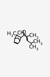 CC(=CC(C)C)C(=O)C1C2C=CC(C2)C1(C)C